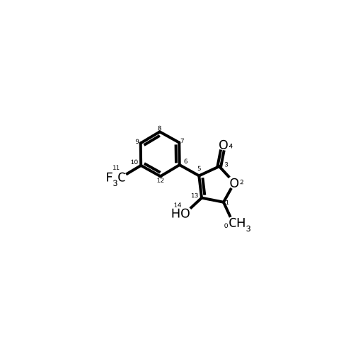 CC1OC(=O)C(c2cccc(C(F)(F)F)c2)=C1O